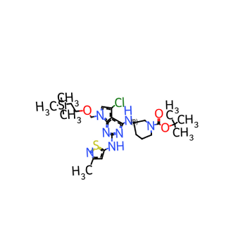 Cc1cc(Nc2nc(N[C@@H]3CCCN(C(=O)OC(C)(C)C)C3)c3c(Cl)cn(COCC[Si](C)(C)C)c3n2)sn1